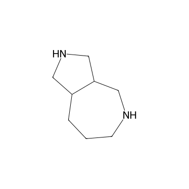 C1CNCC2CNCC2C1